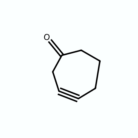 O=C1CC#CCCC1